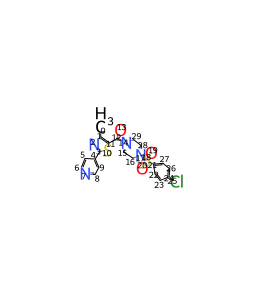 Cc1nc(-c2ccncc2)sc1C(=O)N1CCN(S(=O)(=O)c2ccc(Cl)cc2)CC1